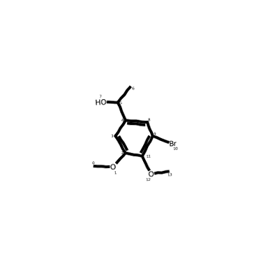 COc1cc(C(C)O)cc(Br)c1OC